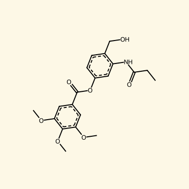 CCC(=O)Nc1cc(OC(=O)c2cc(OC)c(OC)c(OC)c2)ccc1CO